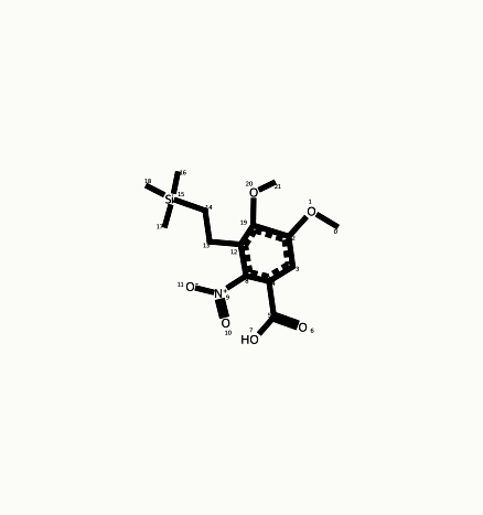 COc1cc(C(=O)O)c([N+](=O)[O-])c(CC[Si](C)(C)C)c1OC